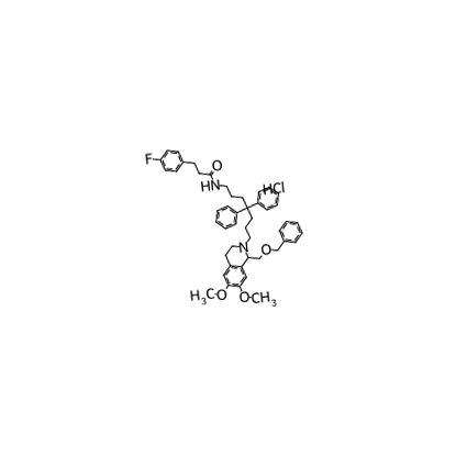 COc1cc2c(cc1OC)C(COCc1ccccc1)N(CCCC(CCCNC(=O)CCc1ccc(F)cc1)(c1ccccc1)c1ccccc1)CC2.Cl